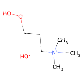 C[N+](C)(C)CCCOO.[OH-]